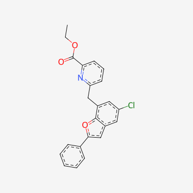 CCOC(=O)c1cccc(Cc2cc(Cl)cc3cc(-c4ccccc4)oc23)n1